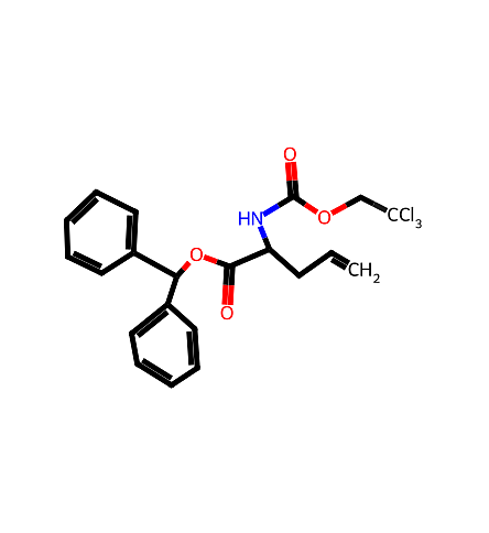 C=CCC(NC(=O)OCC(Cl)(Cl)Cl)C(=O)OC(c1ccccc1)c1ccccc1